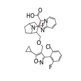 O=C(O)c1c(N2C3CCC2C(COCc2c(-c4c(F)cccc4Cl)noc2C2CC2)C(F)C3)nc2ccccn12